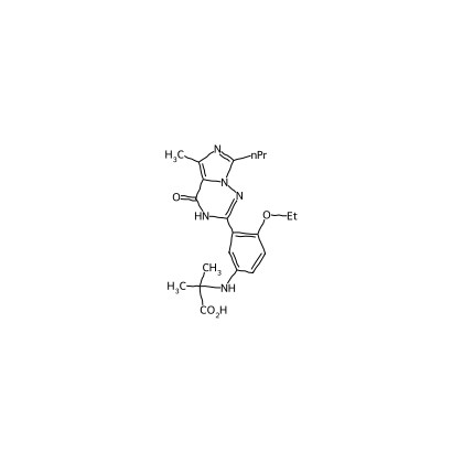 CCCc1nc(C)c2c(=O)[nH]c(-c3cc(NC(C)(C)C(=O)O)ccc3OCC)nn12